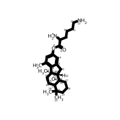 Cc1cc(OC(=O)C(N)CCCCN)cc2c1[C@]1(C)CCC3C(C)(C)CCC[C@]3(C)[C@H]1C2